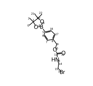 CC1(C)OB(c2ccc(COC(=O)NCCBr)cc2)OC1(C)C